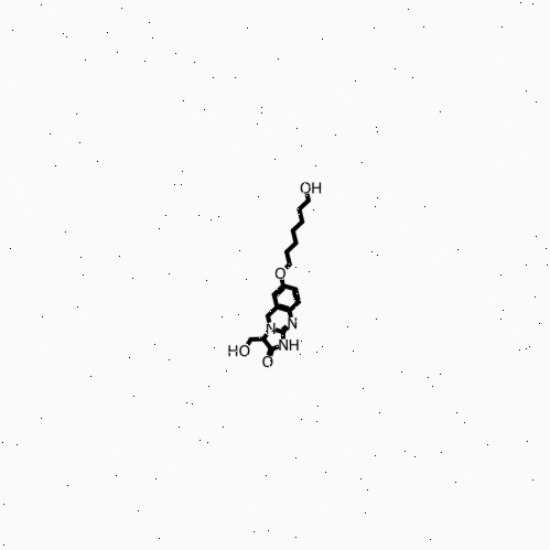 O=C1NC2=Nc3ccc(OCCCCCCCO)cc3CN2C1CO